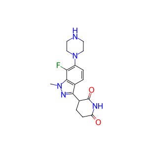 Cn1nc(C2CCC(=O)NC2=O)c2ccc(N3CCNCC3)c(F)c21